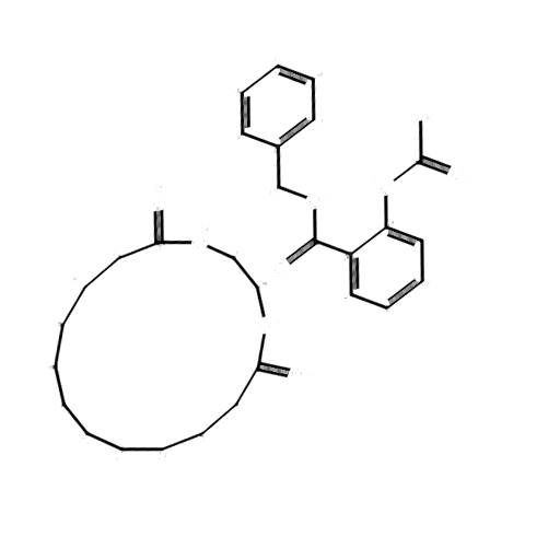 CC(=O)Oc1ccccc1C(=O)OCc1ccccc1.O=C1CCCCCCCCCCC(=O)OCCO1